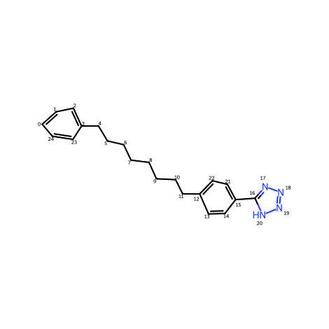 c1ccc(CCCCCCCCc2ccc(-c3nnn[nH]3)cc2)cc1